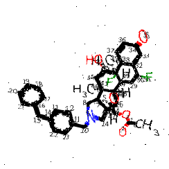 CC(=O)OCC(=O)[C@@]12CN(Cc3ccc(Cc4ccccc4)cc3)C[C@@H]1C[C@H]1[C@@H]3C[C@H](F)C4=CC(=O)C=C[C@]4(C)[C@@]3(F)[C@@H](O)C[C@@]12C